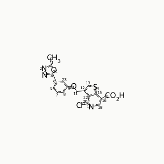 Cc1nnc(-c2cccc(OCc3csc4c(C(=O)O)cnc(Cl)c34)c2)o1